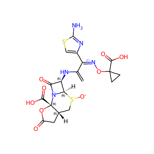 C=C(N[C@@H]1C(=O)N2[C@@H]1[S+]([O-])C[C@@H]1CC(=O)O[C@@]12C(=O)O)/C(=N\OC1(C(=O)O)CC1)c1csc(N)n1